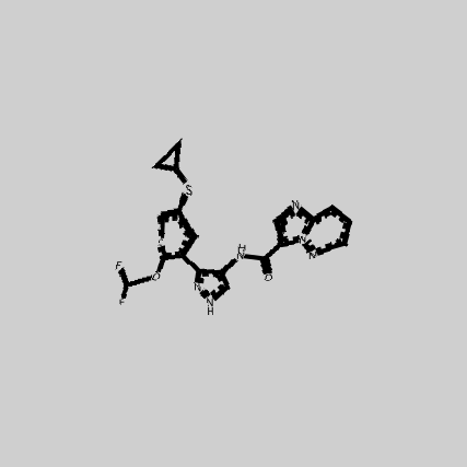 O=C(Nc1c[nH]nc1-c1cc(SC2CC2)ccc1OC(F)F)c1cnc2cccnn12